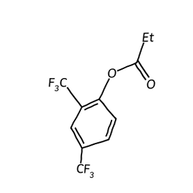 CCC(=O)Oc1ccc(C(F)(F)F)cc1C(F)(F)F